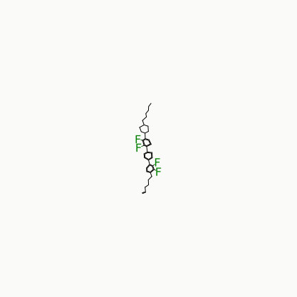 C=CCCCCc1ccc(-c2ccc(-c3ccc(C4CCC(CCCCCC)CC4)c(F)c3F)cc2)c(F)c1F